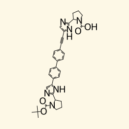 CC(C)(C)OC(=O)N1CCCC1c1ncc(-c2ccc(-c3ccc(C#Cc4cnc(C5CCCN5C(=O)O)[nH]4)cc3)cc2)[nH]1